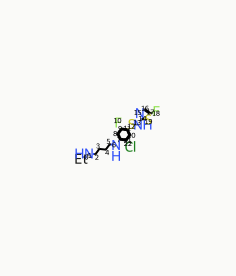 CCNCCCCNc1cc(F)c(SNc2ncc(F)s2)cc1Cl